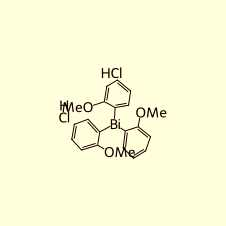 COc1cccc[c]1[Bi]([c]1ccccc1OC)[c]1ccccc1OC.Cl.Cl